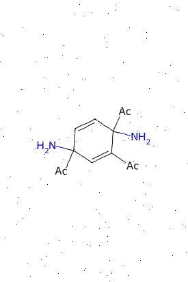 CC(=O)C1=CC(N)(C(C)=O)C=CC1(N)C(C)=O